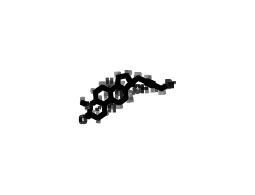 CN1C(=O)CC[C@@]2(C)C1CC[C@@H]1[C@H]2CC[C@@]2(C)[C@H]1CCC2(O)CC#CCBr